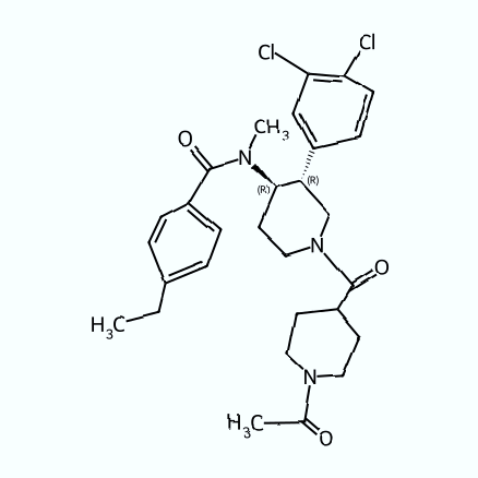 CCc1ccc(C(=O)N(C)[C@@H]2CCN(C(=O)C3CCN(C(C)=O)CC3)C[C@H]2c2ccc(Cl)c(Cl)c2)cc1